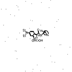 CCN(CC)c1ccc2c(C(=O)N[C@H]3CN4CCC3CC4)snc2c1.O=CO